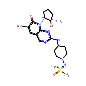 Cc1cc2cnc(NC3CCN(N=S(C)(C)=O)CC3)nc2n([C@@H]2CCC[C@@]2(C)O)c1=O